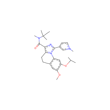 COc1cc2c(cc1OC(C)C)-n1c(-c3ccn(C)c3)nc(C(=O)N(C)C(C)(C)C)c1CC2